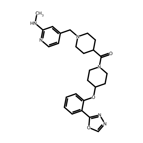 CNc1cc(CN2CCC(C(=O)N3CCC(Oc4ccccc4-c4nnco4)CC3)CC2)ccn1